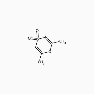 CC1=CS(=O)(=O)N=C(C)O1